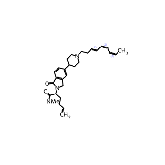 C=CCCC(C(=O)NC)N1Cc2cc(C3CCN(CC/C=C/C=C\C=C/C)CC3)ccc2C1=O